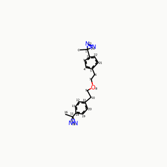 CC1(c2ccc(CCOCCc3ccc(C4(C)N=N4)cc3)cc2)N=N1